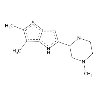 Cc1sc2cc(C3CN(C)CC[N]3)[nH]c2c1C